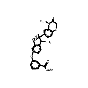 COC(=O)c1cccc(Oc2ccc(C(C)C(O)(c3ccc4c(c3)N(C)C(=O)CO4)C(F)(F)F)c(Cl)c2)c1